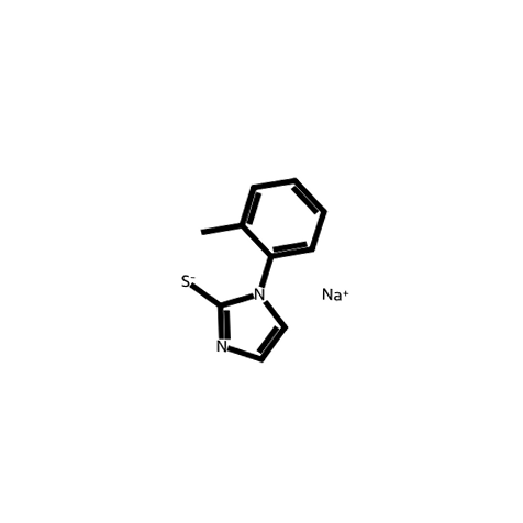 Cc1ccccc1-n1ccnc1[S-].[Na+]